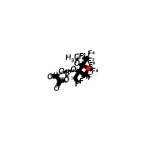 COC(C(F)(F)F)(C(F)(F)F)C(CF)(OB1OC(=O)C(=O)O1)C(F)(F)F